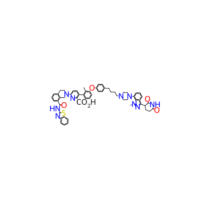 Cc1c(Oc2ccc(CCCCN3CCN(c4cccc5c(C6CCC(=O)NC6=O)nn(C)c45)CC3)cc2)cccc1-c1ccc(N2CCc3cccc(C(=O)Nc4nc5ccccc5s4)c3C2)nc1C(=O)O